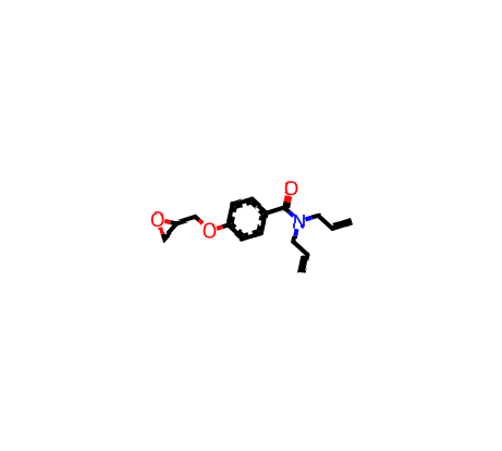 C=CCN(CC=C)C(=O)c1ccc(OCC2CO2)cc1